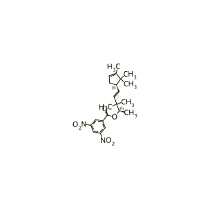 CC1=CC[C@H](/C=C/C(C)(C)[C@@H](C)OC(=O)c2cc([N+](=O)[O-])cc([N+](=O)[O-])c2)C1(C)C